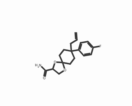 C=C[CH]C1(c2ccc(F)cc2)CCC2(CC1)OCC(C(N)=O)O2